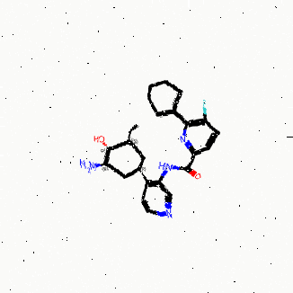 C[C@H]1C[C@@H](c2ccncc2NC(=O)c2ccc(F)c(C3CCCCC3)n2)C[C@@H](N)[C@@H]1O